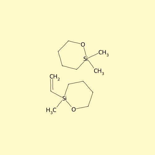 C=C[Si]1(C)CCCCO1.C[Si]1(C)CCCCO1